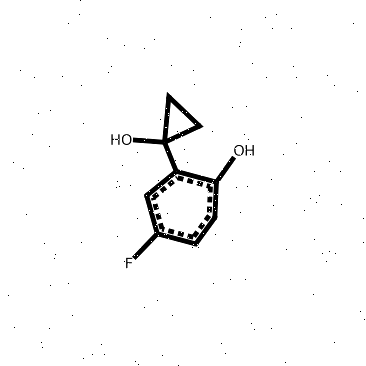 Oc1ccc(F)cc1C1(O)CC1